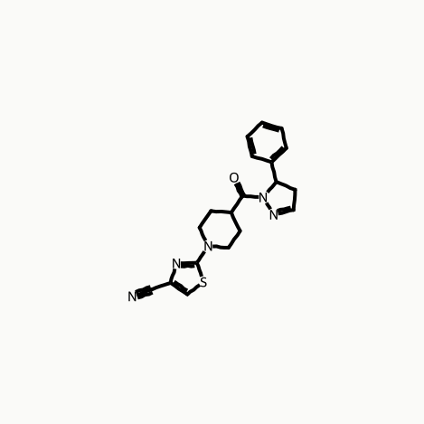 N#Cc1csc(N2CCC(C(=O)N3N=CCC3c3ccccc3)CC2)n1